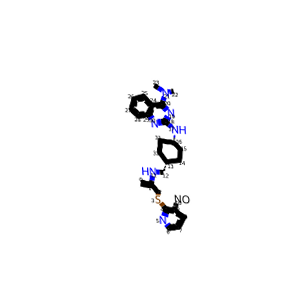 C=C(CSc1ncccc1N=O)NC[C@H]1CC[C@@H](Nc2nc(N(C)C)c3ccccc3n2)CC1